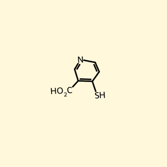 O=C(O)c1cnccc1S